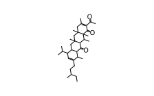 CCC(C)CCC1=CC(C(C)C)C2CC3(C)CC4(C)CC(C)=C(C(C)=O)C(=O)C4(C)C(C)C3C(=O)C2C1C